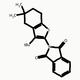 CC1(C)CCc2sc(N3C(=O)c4ccccc4C3=O)c(C(C)(C)C)c2C1